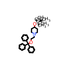 CC(C)(C)[Si](C)(C)OC1CCN(CCOC(c2ccccc2)(c2ccccc2)c2ccccc2)CC1